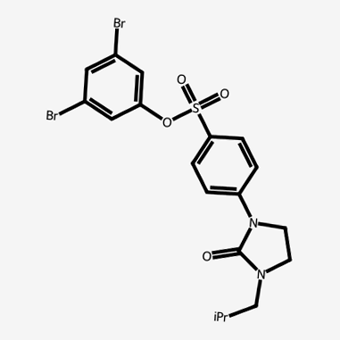 CC(C)CN1CCN(c2ccc(S(=O)(=O)Oc3cc(Br)cc(Br)c3)cc2)C1=O